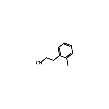 [C-]#[N+]CCc1ccccc1C